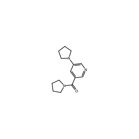 O=C(c1cncc(N2CCCC2)c1)N1CCCC1